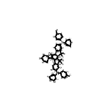 Cc1ccc(N(c2ccccc2)c2ccc3c(c2)C(C)(C)c2c4c(c5c(oc6ccccc65)c2-3)-c2ccc(N(c3ccccc3)c3ccc(C)cc3)cc2C4(C)C)cc1